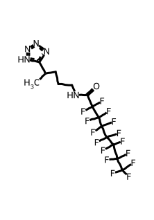 CC(CCCNC(=O)C(F)(F)C(F)(F)C(F)(F)C(F)(F)C(F)(F)C(F)(F)C(F)(F)F)c1nnn[nH]1